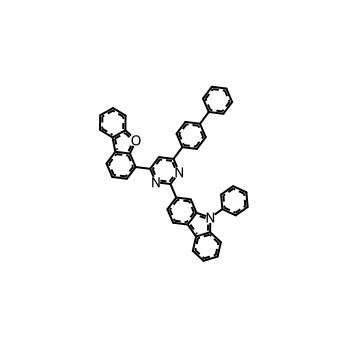 c1ccc(-c2ccc(-c3cc(-c4cccc5c4oc4ccccc45)nc(-c4ccc5c6ccccc6n(-c6ccccc6)c5c4)n3)cc2)cc1